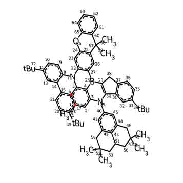 Cc1cc2c3c(c1)N(c1ccc(C(C)(C)C)cc1-c1ccc(C(C)(C)C)cc1)c1cc4c(cc1B3C1=C(c3cc(C(C)(C)C)ccc3C1)N2c1cc2c3c(c1)CC(C)(C)CC3CC(C)(C)C2)C(C)(C)c1ccccc1O4